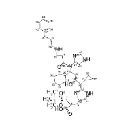 CC(C)(C)S(=O)(=O)CC(Cc1c[nH]c(C(C2CC2)[C@@H](O)CC(C2CCCCC2)N(C(=O)CCNCCCc2ccccc2)c2c[nH]cn2)n1)C(=O)O